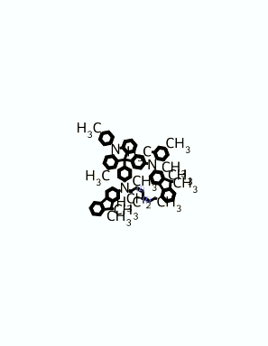 C=C(/C(C)=C\C(C)=C/CC)N(c1ccc(C2(c3ccc(N(c4ccc5c(c4)C(C)(C)c4ccccc4-5)c4c(C)cc(C)cc4C)cc3)c3ccccc3N(c3ccc(C)cc3)c3ccc(C)cc32)cc1)c1ccc2c(c1)C(C)(C)c1ccccc1-2